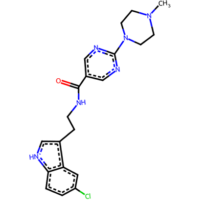 CN1CCN(c2ncc(C(=O)NCCc3c[nH]c4ccc(Cl)cc34)cn2)CC1